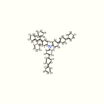 C1=CC[C@@H](c2cc(N(C3=CC=C(c4ccc(-c5ccccc5)cc4)CC3)c3ccc(-c4ccc(-c5ccccc5)cc4)cc3)ccc2-c2cc3ccccc3c3ccccc23)CC1